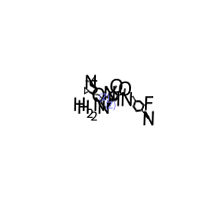 CN(C)SC1(CO/C(N)=c2/c(=C\N)cc(C(=O)NCc3ccc(C#N)c(F)c3)c(=O)n2C)CC1